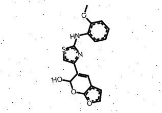 COc1ccccc1Nc1nc(C2=Cc3ccoc3OC2O)cs1